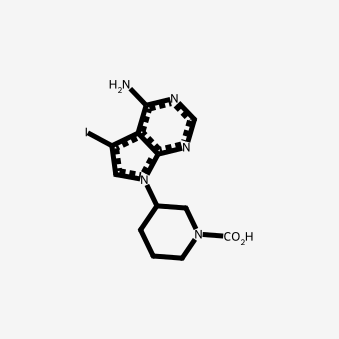 Nc1ncnc2c1c(I)cn2C1CCCN(C(=O)O)C1